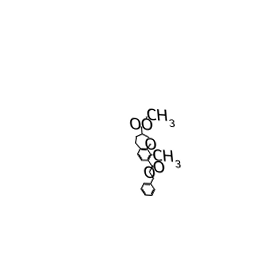 CCOC(=O)C1CCc2ccc(C(=O)OCc3ccccc3)c(C)c2OC1